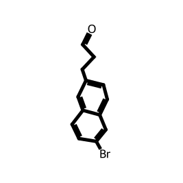 O=CCCc1ccc2cc(Br)ccc2c1